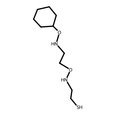 SCCNOCCNOC1CCCCC1